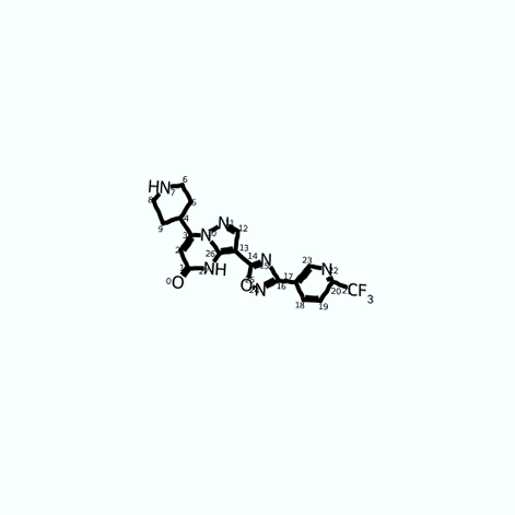 O=c1cc(C2CCNCC2)n2ncc(-c3nc(-c4ccc(C(F)(F)F)nc4)no3)c2[nH]1